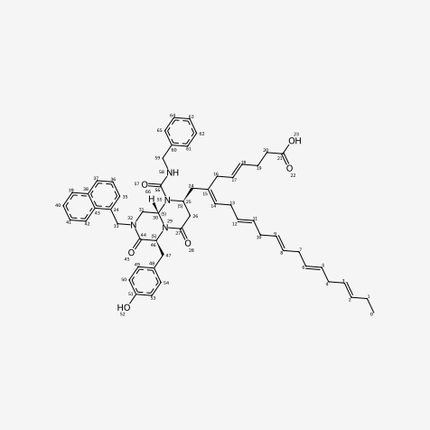 CCC=CCC=CCC=CCC=CCC=C(CC=CCCC(=O)O)C[C@H]1CC(=O)N2[C@H](CN(Cc3cccc4ccccc34)C(=O)[C@@H]2Cc2ccc(O)cc2)N1C(=O)NCc1ccccc1